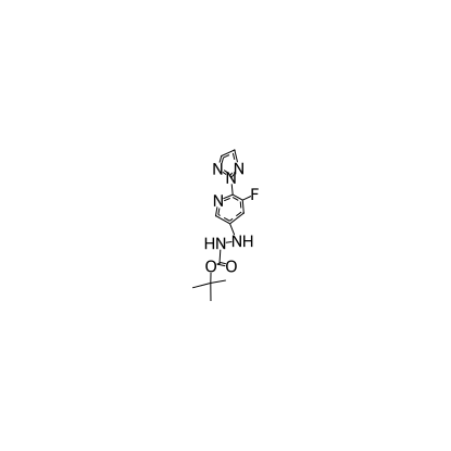 CC(C)(C)OC(=O)NNc1cnc(-n2nccn2)c(F)c1